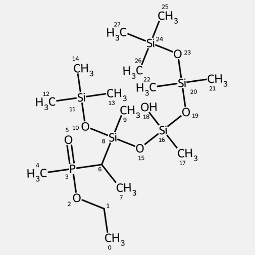 CCOP(C)(=O)C(C)[Si](C)(O[Si](C)(C)C)O[Si](C)(O)O[Si](C)(C)O[Si](C)(C)C